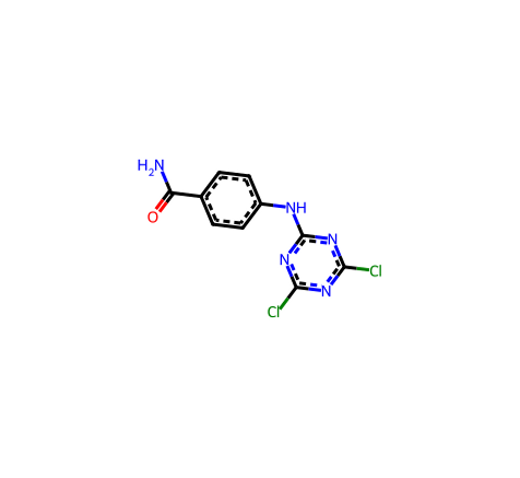 NC(=O)c1ccc(Nc2nc(Cl)nc(Cl)n2)cc1